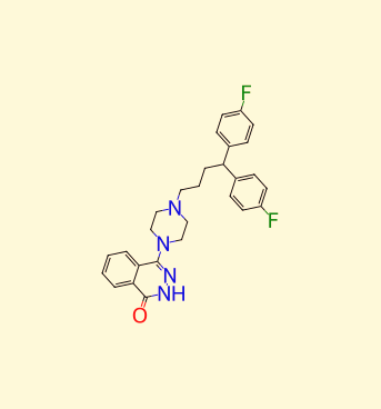 O=c1[nH]nc(N2CCN(CCCC(c3ccc(F)cc3)c3ccc(F)cc3)CC2)c2ccccc12